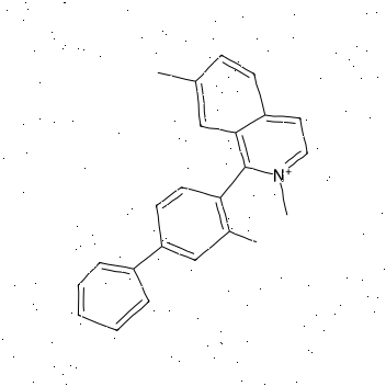 Cc1ccc2cc[n+](C)c(-c3ccc(-c4ccccc4)cc3C)c2c1